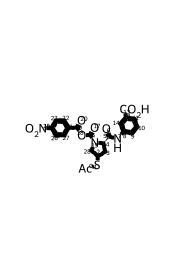 CC(=O)SC1C[C@@H](C(=O)Nc2cccc(C(=O)O)c2)N(C(=O)OC(=O)c2ccc([N+](=O)[O-])cc2)C1